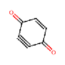 O=C1C#CC(=O)C=C1